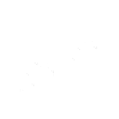 Cc1cnc2c(N)c(C(=O)NC3CCc4nc(N5CC(N)C6(C5)OCC(C)O6)ccc4C3)sc2n1